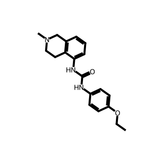 CCOc1ccc(NC(=O)Nc2cccc3c2CCN(C)C3)cc1